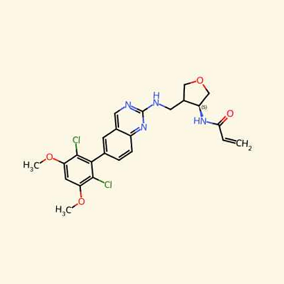 C=CC(=O)N[C@@H]1COCC1CNc1ncc2cc(-c3c(Cl)c(OC)cc(OC)c3Cl)ccc2n1